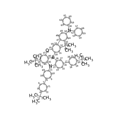 CC(C)(C)c1ccc(-c2ccc(N3c4ccc(-c5ccc(C(C)(C)C)cc5)cc4B4c5cc6c(cc5Oc5cc(C(C)(C)C)cc3c54)-c3ccc(N(c4ccccc4)c4ccccc4)cc3C6(C)C)cc2)cc1